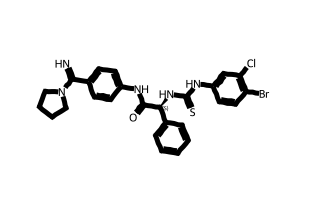 N=C(c1ccc(NC(=O)[C@@H](NC(=S)Nc2ccc(Br)c(Cl)c2)c2ccccc2)cc1)N1CCCC1